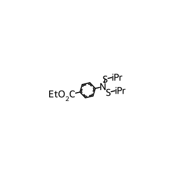 CCOC(=O)c1ccc(N(SC(C)C)SC(C)C)cc1